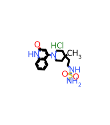 CC1(CCNS(N)(=O)=O)CCN(c2cc(=O)[nH]c3ccccc23)CC1.Cl